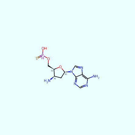 Nc1ncnc2c1ncn2[C@H]1C[C@@H](N)[C@@H](CO[PH](O)=S)O1